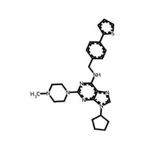 CN1CCN(c2nc(NCc3ccc(-c4cccs4)cc3)c3ncn(C4CCCC4)c3n2)CC1